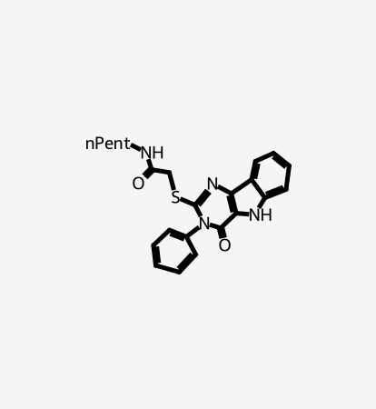 CCCCCNC(=O)CSc1nc2c([nH]c3ccccc32)c(=O)n1-c1ccccc1